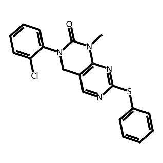 CN1C(=O)N(c2ccccc2Cl)Cc2cnc(Sc3ccccc3)nc21